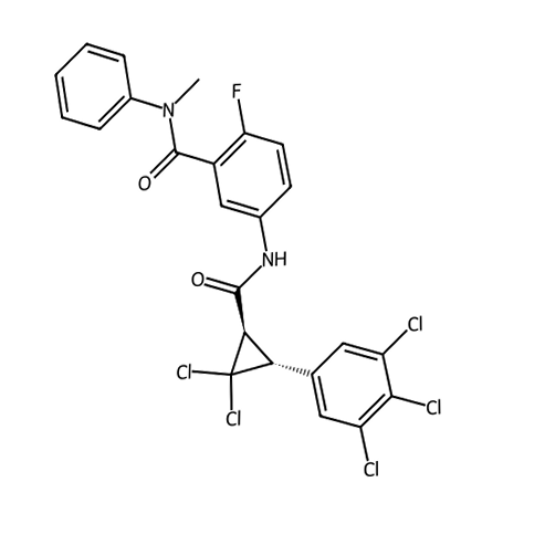 CN(C(=O)c1cc(NC(=O)[C@H]2[C@H](c3cc(Cl)c(Cl)c(Cl)c3)C2(Cl)Cl)ccc1F)c1ccccc1